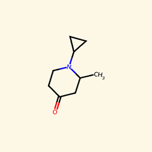 CC1CC(=O)CCN1C1CC1